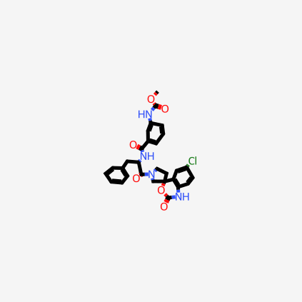 COC(=O)Nc1cccc(C(=O)NC(Cc2ccccc2)C(=O)N2CCC3(C2)OC(=O)Nc2ccc(Cl)cc23)c1